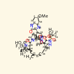 COc1ccc2nc(O[C@@H]3C[C@H]4C(=O)N[C@]5(C(=O)NS(=O)(=O)C6(C)CC6)C[C@H]5C=CCC[C@@H](C)C[C@@H](C)[C@H](N(C(=O)O)C(C)(C)C(F)(F)F)C(=O)N4C3)c(-c3ccc(OC(C)C)cc3)nc2c1